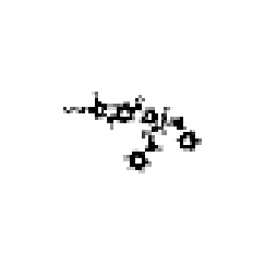 CC(=O)NC1CN(C(=O)c2ccc(C(=O)N3C[C@@H](C(=O)N[C@H]4C[C@@H]4c4ccccc4)[C@H](C(=O)N[C@H]4C[C@@H]4c4ccccc4)C3)cc2)CC1C